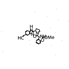 C#Cc1ccc2[nH]c(C3CCCN3C(=O)[C@H](NC(=O)OC)c3ccccc3)nc2c1